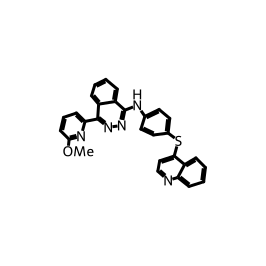 COc1cccc(-c2nnc(Nc3ccc(Sc4ccnc5ccccc45)cc3)c3ccccc23)n1